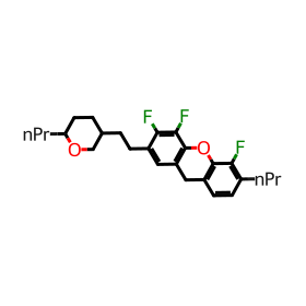 CCCc1ccc2c(c1F)Oc1c(cc(CCC3CCC(CCC)OC3)c(F)c1F)C2